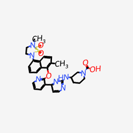 Cc1ccc2c(N3CCN(C)S3(=O)=O)cccc2c1Oc1ncccc1-c1ccnc(NC2CCCN(C(=O)O)C2)n1